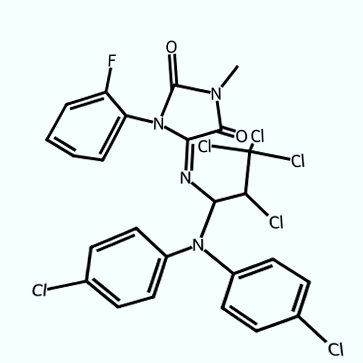 CN1C(=O)C(=NC(C(Cl)C(Cl)(Cl)Cl)N(c2ccc(Cl)cc2)c2ccc(Cl)cc2)N(c2ccccc2F)C1=O